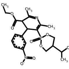 CCOC(=O)C1C(C)=NC(C)=C(P2(=O)OCC(C(C)C)CO2)C1c1cccc([N+](=O)[O-])c1